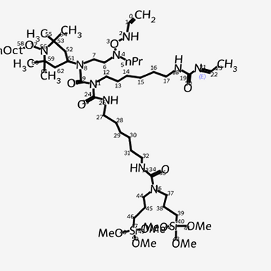 C=CNON(CCC)CCN(C(=O)N(CCCCCCNC(=O)/N=C/C)C(=O)NCCCCCCNC(=O)N(CCC[Si](OC)(OC)OC)CCC[Si](OC)(OC)OC)C1CC(C)(C)N(OCCCCCCCC)C(C)(C)C1